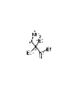 CCNC(CC)(CC)CN